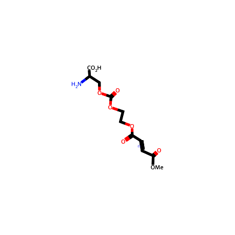 COC(=O)/C=C/C(=O)OCCOC(=O)OCC(N)C(=O)O